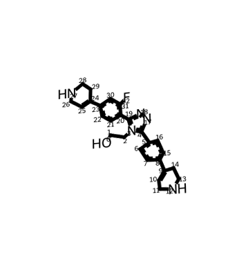 OCCn1c(-c2ccc(C3=CCNCC3)cc2)nnc1-c1ccc(C2=CCNCC2)cc1F